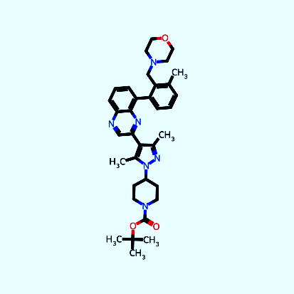 Cc1cccc(-c2cccc3ncc(-c4c(C)nn(C5CCN(C(=O)OC(C)(C)C)CC5)c4C)nc23)c1CN1CCOCC1